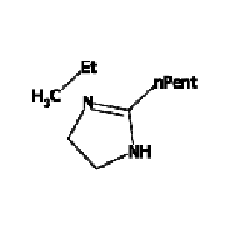 CCC.CCCCCC1=NCCN1